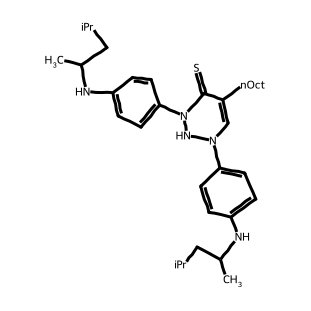 CCCCCCCCC1=CN(c2ccc(NC(C)CC(C)C)cc2)NN(c2ccc(NC(C)CC(C)C)cc2)C1=S